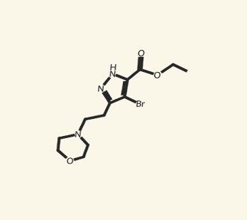 CCOC(=O)c1[nH]nc(CCN2CCOCC2)c1Br